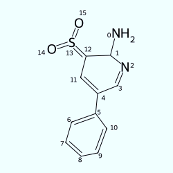 NC1N=CC(c2ccccc2)=CC1=S(=O)=O